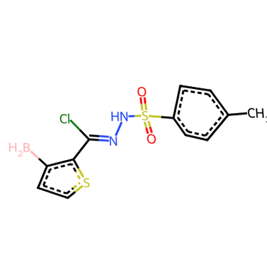 Bc1ccsc1/C(Cl)=N/NS(=O)(=O)c1ccc(C)cc1